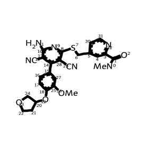 CNC(=O)c1cc(CSc2nc(N)c(C#N)c(-c3ccc(OC4CCOC4)c(OC)c3)c2C#N)ccn1